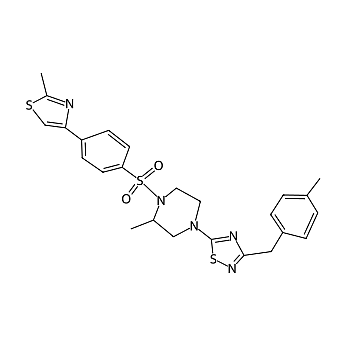 Cc1ccc(Cc2nsc(N3CCN(S(=O)(=O)c4ccc(-c5csc(C)n5)cc4)C(C)C3)n2)cc1